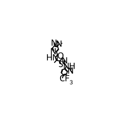 CC(NC(=O)c1cc2c(cn1)ncn2C)C1CN=C(Nc2ccc(C(F)(F)F)cc2N(C)C)S1